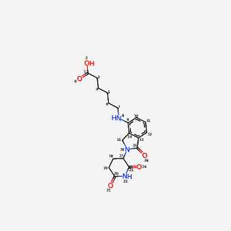 O=C(O)CCCCCNc1cccc2c1CN(C1CCC(=O)NC1=O)C2=O